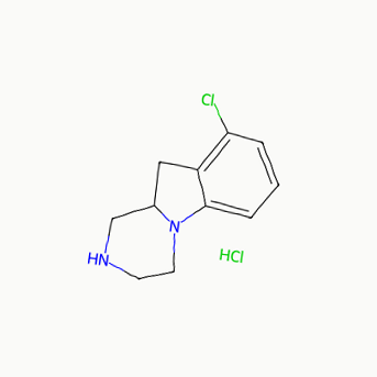 Cl.Clc1cccc2c1CC1CNCCN21